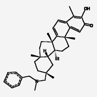 CC[C@@]12CC[C@@]3(C)C4=CC(=O)C(O)=C(C)C4=CC=C3[C@@]1(C)CC[C@@]1(C)CC[C@@](C)(CN(C)Cc3ccccc3)C[C@H]12